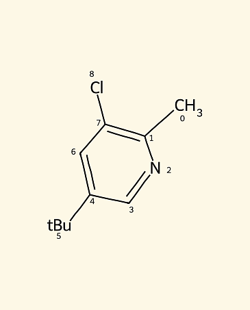 Cc1ncc(C(C)(C)C)cc1Cl